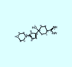 C[CH]CC(=N)C1CCC(O)(c2cnc(N3CCOCC3)s2)CC1